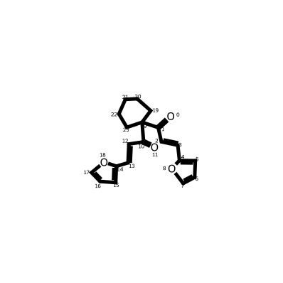 O=C(/C=C/c1ccco1)C1(C(=O)/C=C/c2ccco2)CCCCC1